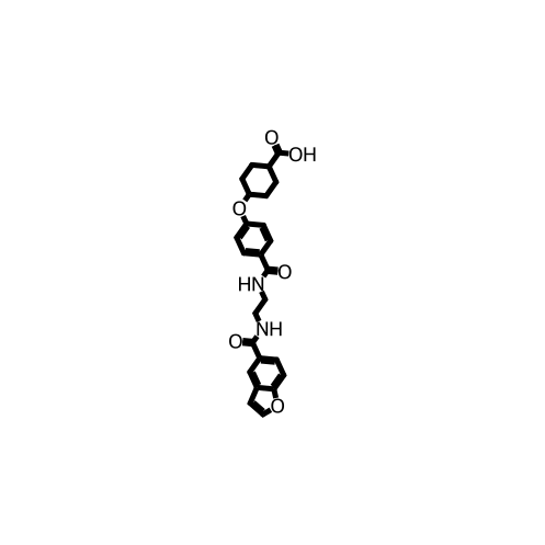 O=C(NCCNC(=O)c1ccc2occc2c1)c1ccc(OC2CCC(C(=O)O)CC2)cc1